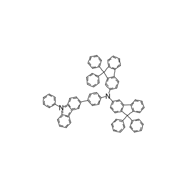 c1ccc(-n2c3ccccc3c3cc(-c4ccc(N(c5ccc6c(c5)-c5ccccc5C6(c5ccccc5)c5ccccc5)c5ccc6c(c5)C(c5ccccc5)(c5ccccc5)c5ccccc5-6)cc4)ccc32)cc1